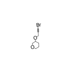 BrC#CCOC1CCCOC1